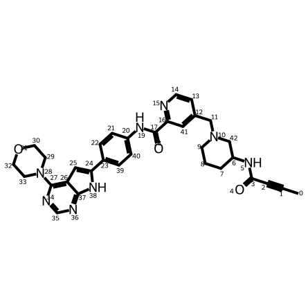 CC#CC(=O)NC1CCCN(Cc2ccnc(C(=O)Nc3ccc(-c4cc5c(N6CCOCC6)ncnc5[nH]4)cc3)c2)C1